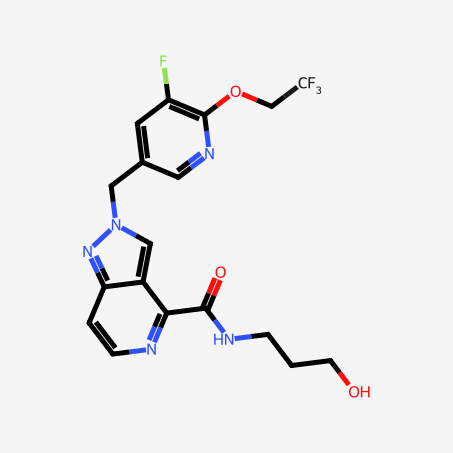 O=C(NCCCO)c1nccc2nn(Cc3cnc(OCC(F)(F)F)c(F)c3)cc12